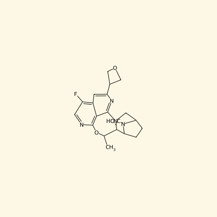 CC1Oc2ncc(F)c3cc(C4COC4)nc(c23)N2CC3CCC(C12)N3C(=O)O